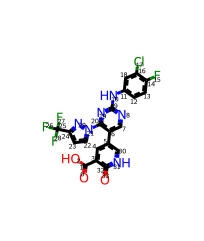 O=C(O)c1cc(-c2cnc(Nc3ccc(F)c(Cl)c3)nc2-n2ccc(C(F)(F)F)n2)c[nH]c1=O